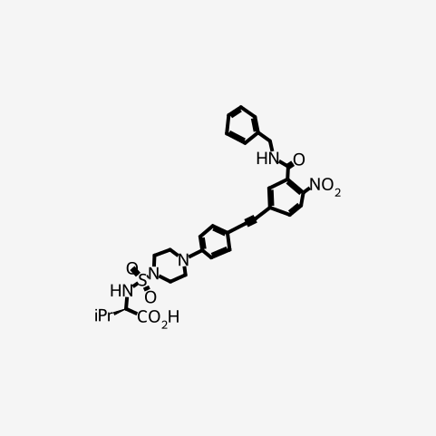 CC(C)[C@@H](NS(=O)(=O)N1CCN(c2ccc(C#Cc3ccc([N+](=O)[O-])c(C(=O)NCc4ccccc4)c3)cc2)CC1)C(=O)O